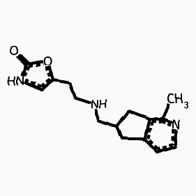 Cc1nccc2c1CC(CNCCc1c[nH]c(=O)o1)C2